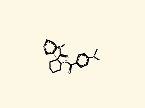 CNC(=S)[C@]1(c2cccnc2)CCCC[C@H]1OC(=O)c1ccc(N(C)C)cc1